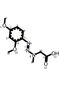 COc1ccc(/N=N/N(C)CC(=O)O)c(OC)c1